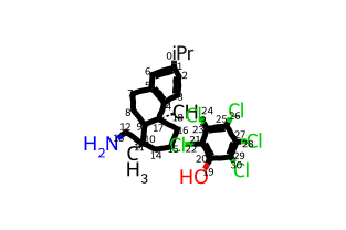 CC(C)c1ccc2c(c1)CCC1[C@](C)(CN)CCC[C@]21C.Oc1c(Cl)c(Cl)c(Cl)c(Cl)c1Cl